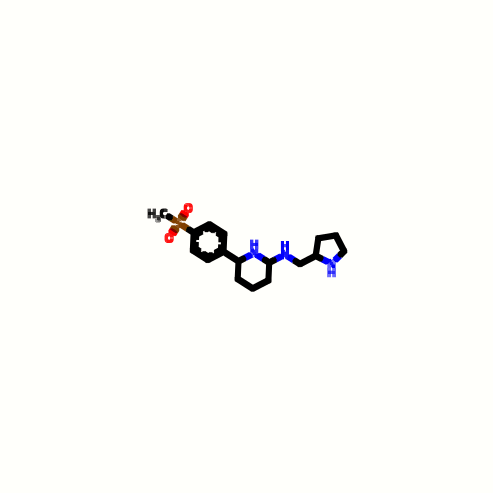 CS(=O)(=O)c1ccc(C2CCCC(NCC3CCCN3)N2)cc1